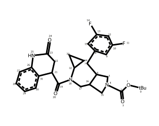 CC(C)(C)OC(=O)N1CC(Cc2cc(F)cc(F)c2)C(CN(C(=O)C2CC(=O)Nc3ccccc32)C2CC2)C1